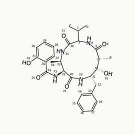 CC(C)C1NC(=O)[C@H](C)[C@H](O)[C@H](Cc2ccccc2)NC(=O)[C@@H](NC(=O)c2ccccc2O)[C@@H](C)NC1=O